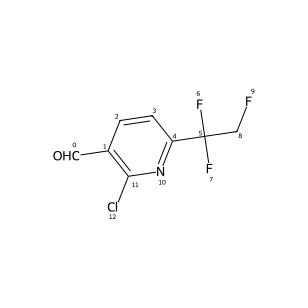 O=Cc1ccc(C(F)(F)CF)nc1Cl